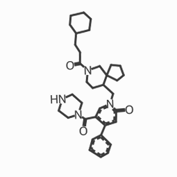 O=C(CCC1CCCCC1)N1CCC(Cn2cc(C(=O)N3CCNCC3)c(-c3ccccc3)cc2=O)C2(CCCC2)C1